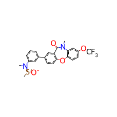 CN1C(=O)c2cc(-c3cccc(N(C)[S+](C)[O-])c3)ccc2Oc2ccc(OC(F)(F)F)cc21